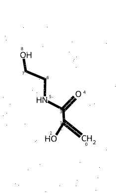 C=C(O)C(=O)NCCO